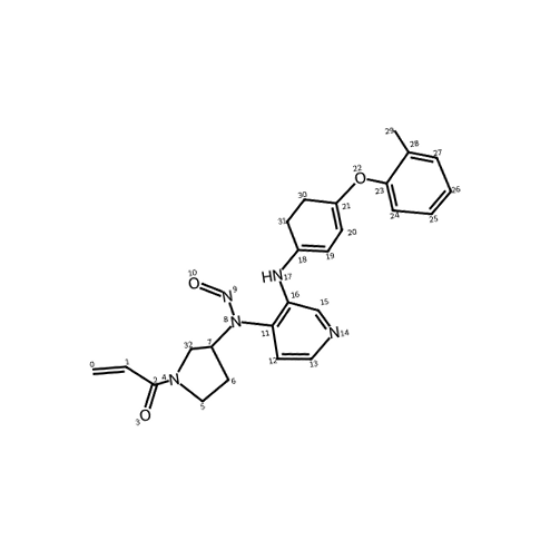 C=CC(=O)N1CCC(N(N=O)c2ccncc2NC2=CC=C(Oc3ccccc3C)CC2)C1